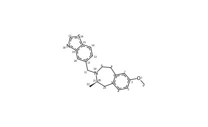 COc1ccc2c(c1)CCN(Cc1ccc3scnc3c1)[C@H](C)C2